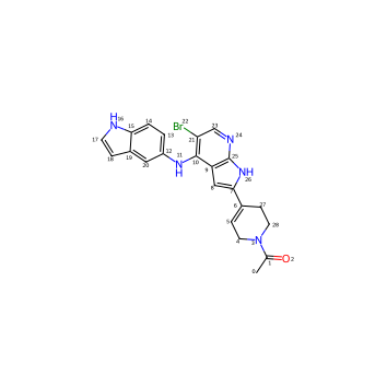 CC(=O)N1CC=C(c2cc3c(Nc4ccc5[nH]ccc5c4)c(Br)cnc3[nH]2)CC1